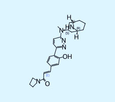 CN(c1ccc(-c2ccc(/C=C/C(=O)N3CCC3)cc2O)nn1)[C@@H]1C[C@H]2CCC[C@@H](C1)N2